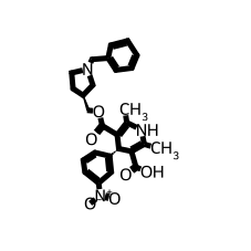 CC1=C(C(=O)O)[C@H](c2cccc([N+](=O)[O-])c2)C(C(=O)OC[C@H]2CCN(Cc3ccccc3)C2)=C(C)N1